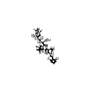 CN(C[C@@H](NC(=O)N[C@H](C(=O)N1C[C@H]2[C@@H]([C@H]1C(=O)N[C@@H](CC(F)F)C(=O)NCCc1c(F)cccc1Cl)C2(C)C)C(C)(C)C)C(C)(C)C)S(C)(=O)=O